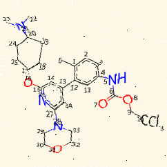 Cc1ccc(NC(=O)OCC(Cl)(Cl)Cl)cc1-c1cc(O[C@H]2CC[C@H](N(C)C)CC2)nc(N2CCOCC2)c1